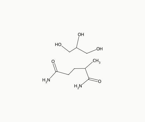 CC(CCC(N)=O)C(N)=O.OCC(O)CO